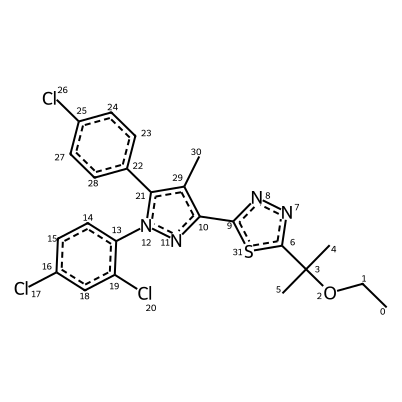 CCOC(C)(C)c1nnc(-c2nn(-c3ccc(Cl)cc3Cl)c(-c3ccc(Cl)cc3)c2C)s1